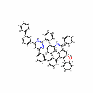 c1ccc(-c2cccc(-c3cc(-c4cccc(-c5cccc(-c6c7c(cc8c(-c9ccccc9)nc9ccccc9c68)oc6ccccc67)c5)c4)nc(-c4ccccc4)n3)c2)cc1